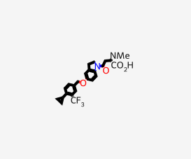 CNC(CC(=O)N1CCc2cc(OCc3ccc(C4CC4)c(C(F)(F)F)c3)ccc21)C(=O)O